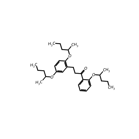 CCCC(C)Oc1ccc(OC(C)CCC)c(CCC(=O)c2ccccc2OC(C)CCC)c1